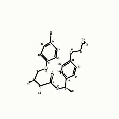 C[C@@H](NC(=O)[C@H](C)[C@@H](C)COc1ccc(F)cc1)c1ccc(OCC(F)(F)F)cn1